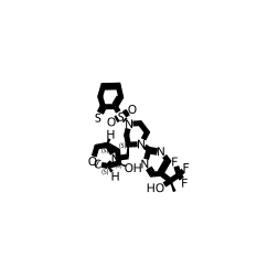 C[C@@](O)(c1cnc(N2CCN(S(=O)(=O)C3=CC=CCC3=S)C[C@@H]2CN2[C@@H]3COC[C@H]2[C@@H](O)C3)nc1)C(F)(F)F